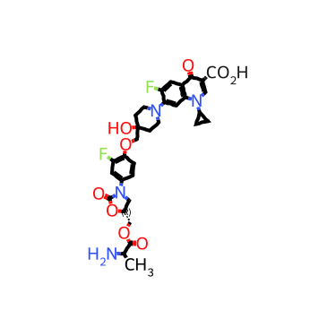 CC(N)C(=O)OC[C@H]1CN(c2ccc(OCC3(O)CCN(c4cc5c(cc4F)c(=O)c(C(=O)O)cn5C4CC4)CC3)c(F)c2)C(=O)O1